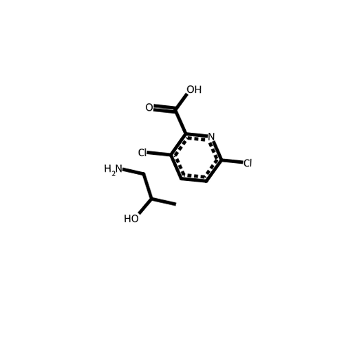 CC(O)CN.O=C(O)c1nc(Cl)ccc1Cl